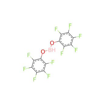 Fc1c(F)c(F)c(OBOc2c(F)c(F)c(F)c(F)c2F)c(F)c1F